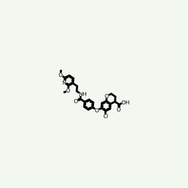 COc1ccc(CCNC(=O)c2ccc(Oc3cc4c(cc3Cl)C(C(=O)O)CCO4)cc2)c(OC)n1